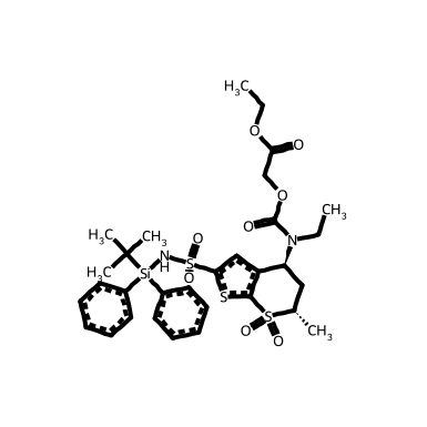 CCOC(=O)COC(=O)N(CC)[C@H]1C[C@H](C)S(=O)(=O)c2sc(S(=O)(=O)N[Si](c3ccccc3)(c3ccccc3)C(C)(C)C)cc21